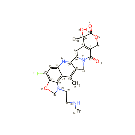 CC[C@@]1(O)C(=O)OCc2c1cc1n(c2=O)Cc2c-1nc1cc(F)c3c(c1c2C)N(CCNC(C)C)CO3